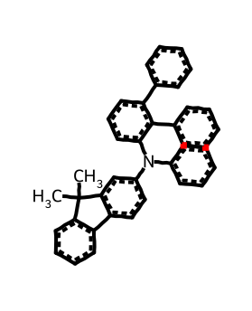 CC1(C)c2ccccc2-c2ccc(N(c3ccccc3)c3cccc(-c4ccccc4)c3-c3ccccc3)cc21